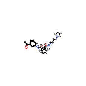 CC(=O)c1cccc(NC(=O)[C@H]2[C@H](C(=O)NCCCCN3CCCC3)[C@H]3C=C[C@@H]2C32CC2)c1